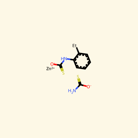 CCc1ccccc1NC([O-])=S.NC([O-])=S.[Zn+2]